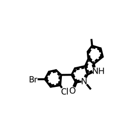 Cc1ccc2[nH]c3c(cc(-c4ccc(Br)cc4Cl)c(=O)n3C)c2c1